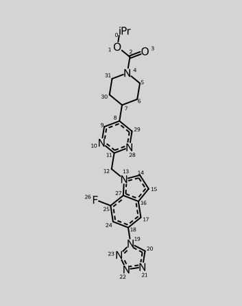 CC(C)OC(=O)N1CCC(c2cnc(Cn3ccc4cc(-n5cnnn5)cc(F)c43)nc2)CC1